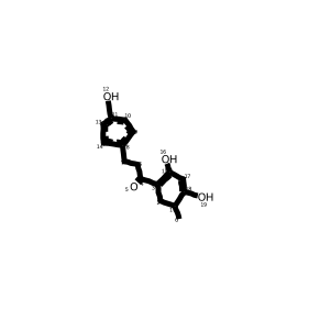 CC1CC(C(=O)CCc2ccc(O)cc2)=C(O)C=C1O